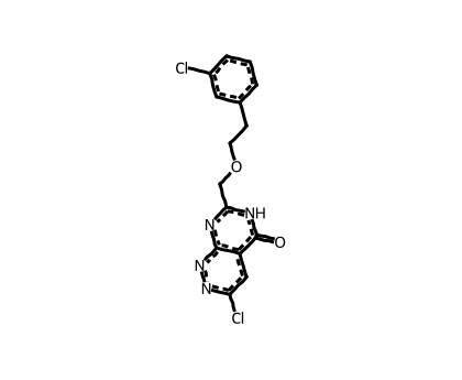 O=c1[nH]c(COCCc2cccc(Cl)c2)nc2nnc(Cl)cc12